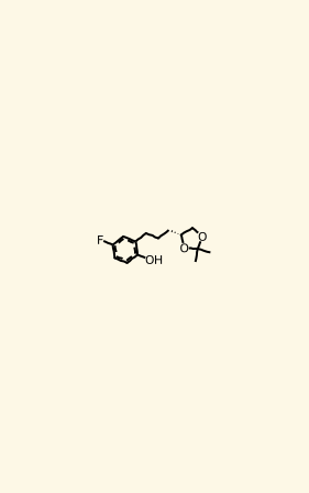 CC1(C)OC[C@@H](CCCc2cc(F)ccc2O)O1